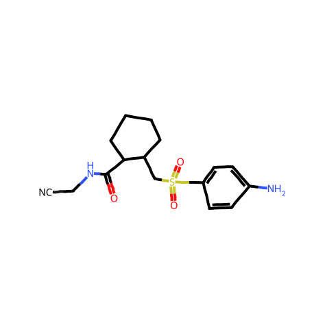 N#CCNC(=O)C1CCCCC1CS(=O)(=O)c1ccc(N)cc1